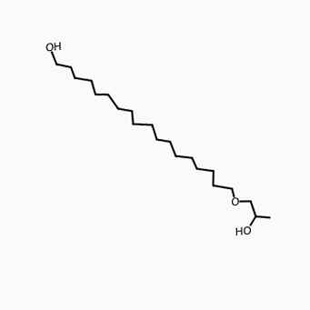 CC(O)COCCCCCCCCCCCCCCCCCCO